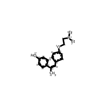 CCN(CC)CCOc1ccc(C=C(C)c2ccc(O)cc2)cc1